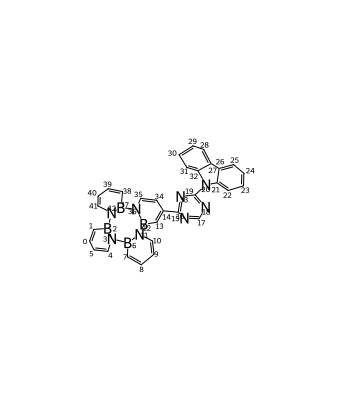 C1=CB2N(C=C1)B1C=CC=CN1B1C=C(c3ncnc(-n4c5ccccc5c5ccccc54)n3)C=CN1B1C=CC=CN21